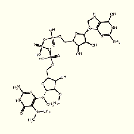 COC1C(O)[C@@H](COP(=O)(O)OP(O)(=S)OP(=O)(O)OC[C@H]2O[C@@H](N3CNC4=C3N=C(N)NC4O)C(O)C2O)O[C@H]1N(C)c1nc(N)[nH]c(=O)c1N(C)C